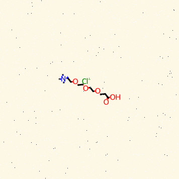 C[N+](C)(C)CCOCCOCCOCCC(=O)O.[Cl-]